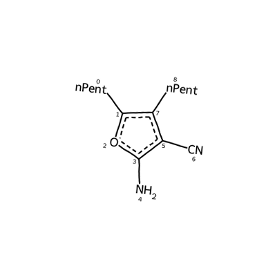 CCCCCc1oc(N)c(C#N)c1CCCCC